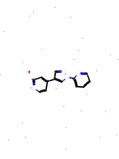 COc1cc(-c2cnn(-c3ccccn3)c2)ccn1